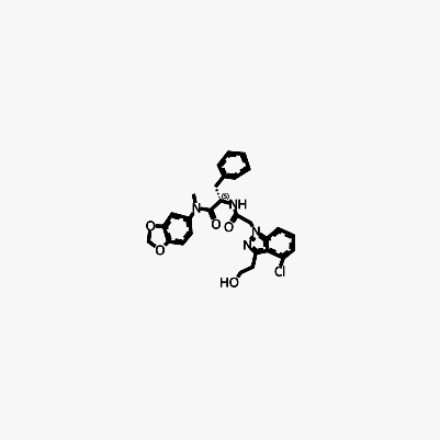 CN(C(=O)[C@H](Cc1ccccc1)NC(=O)Cn1nc(CCO)c2c(Cl)cccc21)c1ccc2c(c1)OCO2